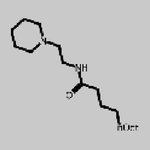 CCCCCCCCCCCC(=O)NCCN1CCCCC1